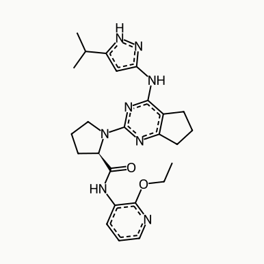 CCOc1ncccc1NC(=O)[C@H]1CCCN1c1nc2c(c(Nc3cc(C(C)C)[nH]n3)n1)CCC2